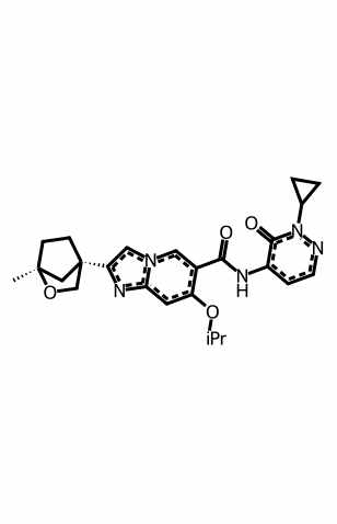 CC(C)Oc1cc2nc([C@@]34CC[C@@](C)(C3)OC4)cn2cc1C(=O)Nc1ccnn(C2CC2)c1=O